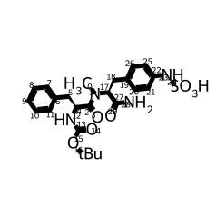 CN(C(=O)[C@H](Cc1ccccc1)NC(=O)OC(C)(C)C)[C@@H](Cc1ccc(NS(=O)(=O)O)cc1)C(N)=O